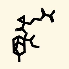 C=C(C)C(=O)OCCC1(C(=O)OC2(C(C)CC)C3CC4CC2CC(C)(C4)C3)CC1